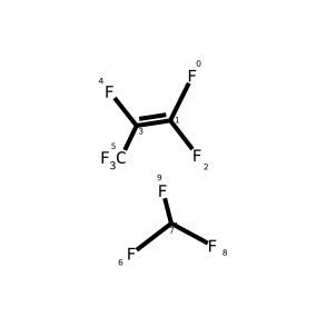 FC(F)=C(F)C(F)(F)F.F[C](F)F